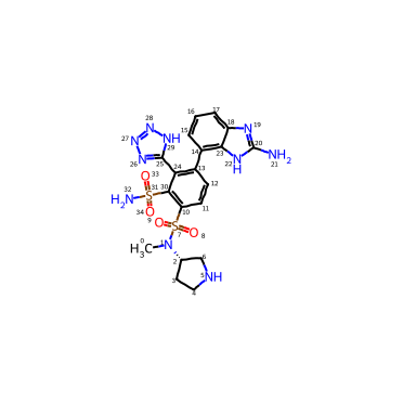 CN([C@H]1CCNC1)S(=O)(=O)c1ccc(-c2cccc3nc(N)[nH]c23)c(-c2nnn[nH]2)c1S(N)(=O)=O